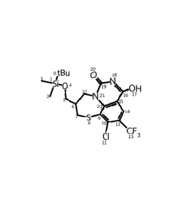 CC(C)(C)[Si](C)(C)OCC1CSc2c(Cl)c(C(F)(F)F)cc3c(O)nc(=O)n(c23)C1